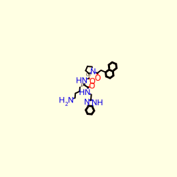 NCCCC[C@H](NC(=O)[C@@H]1CCCN1C(=O)Cc1cccc2ccccc12)C(=O)NCc1nc2ccccc2[nH]1